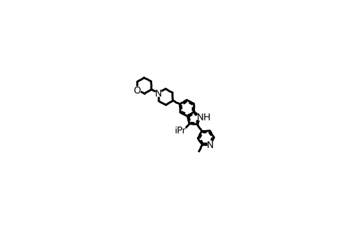 Cc1cc(-c2[nH]c3ccc(C4CCN(C5CCCOC5)CC4)cc3c2C(C)C)ccn1